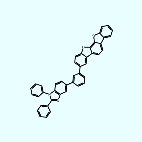 c1ccc(-c2nc3cc(-c4cccc(-c5ccc6oc7c(ccc8c9ccccc9oc87)c6c5)c4)ccc3n2-c2ccccc2)cc1